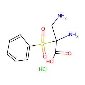 Cl.NCC(N)(C(=O)O)S(=O)(=O)c1ccccc1